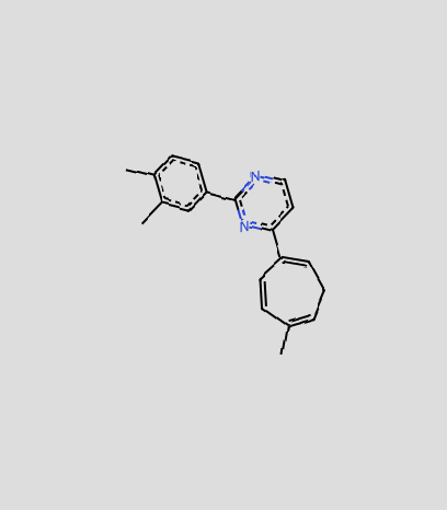 CC1=CCC=C(c2ccnc(-c3ccc(C)c(C)c3)n2)C=C1